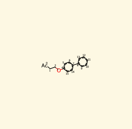 CC(=O)CCOc1ccc(-c2ccccc2)cc1